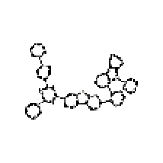 c1ccc(-c2ccc(-c3nc(-c4ccccc4)nc(-c4ccc5c(c4)oc4cc(-c6ccccc6-c6cccc7c8ccccc8n(-c8ccccc8)c67)ccc45)n3)cc2)cc1